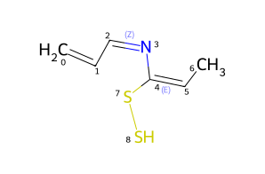 C=C/C=N\C(=C/C)SS